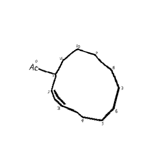 CC(=O)C1/C=C\CCCCCCCC1